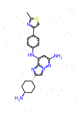 Cc1nc(-c2ccc(Nc3cc(N)nn4cc([C@H]5CC[C@H](N)CC5)nc34)cc2)cs1